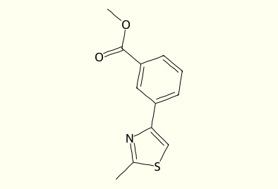 COC(=O)c1cccc(-c2csc(C)n2)c1